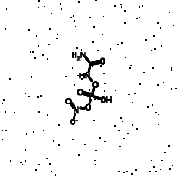 NC(=O)NOP(=O)(O)O[N+](=O)[O-]